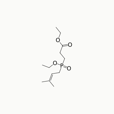 CCOC(=O)CCP(=O)(CC=C(C)C)OCC